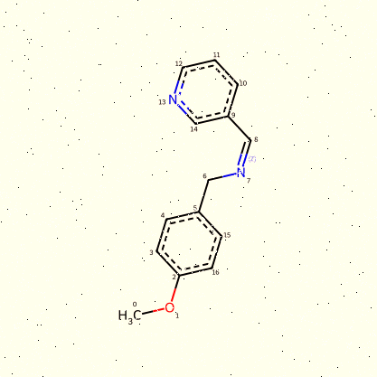 COc1ccc(C/N=C\c2cccnc2)cc1